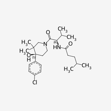 CC(C)CCC(=O)N[C@@H](C(=O)N1CC[C@](O)(c2ccc(Cl)cc2)C(C)(C)C1)C(C)C